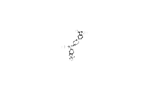 CCCN(CCN1CCN(c2ccc3c(c2)C(=O)CN3)CC1)C1CCc2nc(N)sc2C1